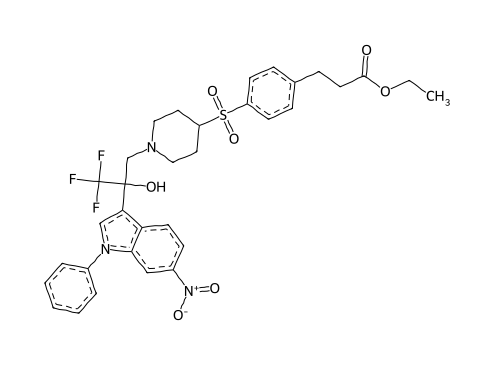 CCOC(=O)CCc1ccc(S(=O)(=O)C2CCN(CC(O)(c3cn(-c4ccccc4)c4cc([N+](=O)[O-])ccc34)C(F)(F)F)CC2)cc1